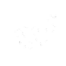 C=CC(=O)Nc1cccc(Nc2nc(Nc3ccc(Oc4ccnc(C(=O)NC)c4)cc3)ncc2C)c1